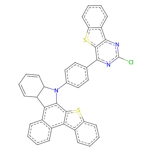 Clc1nc(-c2ccc(N3c4c(c5ccccc5c5c4sc4ccccc45)C4C=CC=CC43)cc2)c2sc3ccccc3c2n1